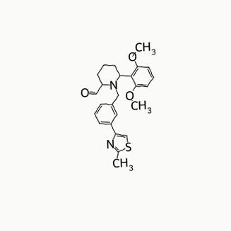 COc1cccc(OC)c1C1CCCC(C=O)N1Cc1cccc(-c2csc(C)n2)c1